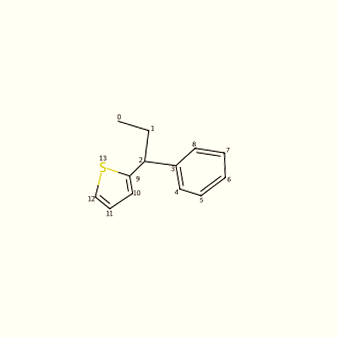 CCC(c1ccccc1)c1cccs1